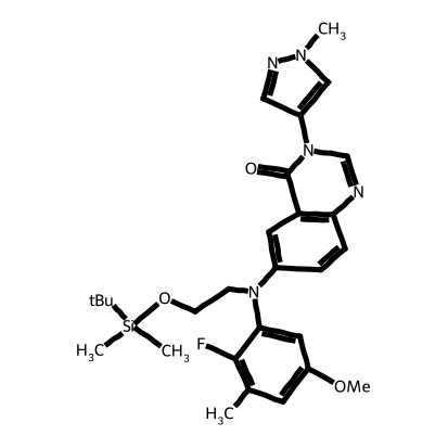 COc1cc(C)c(F)c(N(CCO[Si](C)(C)C(C)(C)C)c2ccc3ncn(-c4cnn(C)c4)c(=O)c3c2)c1